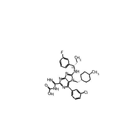 CC[C@H](Nc1nc2nc(C(=N)NC(=O)O)nc(-c3cccc(Cl)c3)c2n1C[C@H]1CC[C@H](C)CC1)c1cccc(F)c1